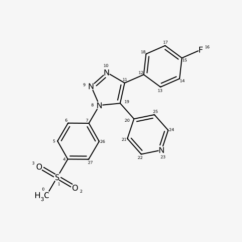 CS(=O)(=O)c1ccc(-n2nnc(-c3ccc(F)cc3)c2-c2ccncc2)cc1